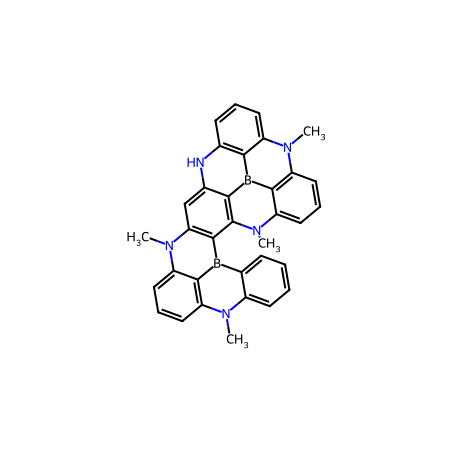 CN1c2ccccc2B2c3c1cccc3N(C)c1cc3c4c(c12)N(C)c1cccc2c1B4c1c(cccc1N2C)N3